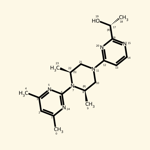 Cc1cc(C)nc(N2[C@H](C)CN(c3ccnc([C@@H](C)O)n3)C[C@@H]2C)n1